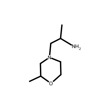 CC(N)CN1CCOC(C)C1